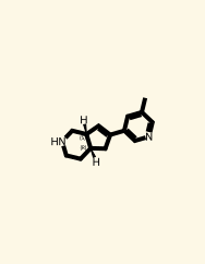 Cc1cncc(C2=C[C@H]3CNCC[C@H]3C2)c1